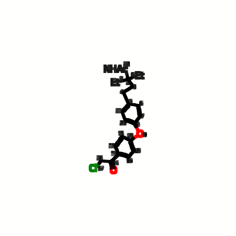 CCC(CC)(CCc1ccc(Oc2ccc(C(=O)CCl)cc2)cc1)NC(C)=O